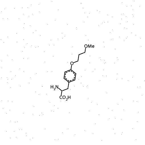 COCCCOc1ccc(CC(N)C(=O)O)cc1